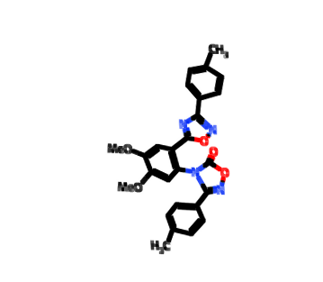 COc1cc(-c2nc(-c3ccc(C)cc3)no2)c(-n2c(-c3ccc(C)cc3)noc2=O)cc1OC